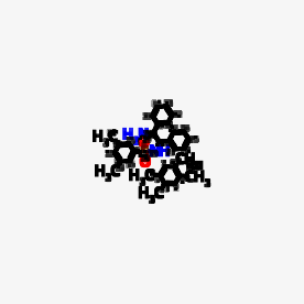 Cc1cc(C)c(C)cc1C.Cc1cc(C)cc(S(=O)(=O)N[C@@H](c2ccccc2)[C@@H](N)c2ccccc2)c1.[Ru]